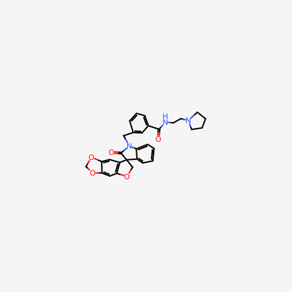 O=C(NCCN1CCCC1)c1cccc(CN2C(=O)C3(COc4cc5c(cc43)OCO5)c3ccccc32)c1